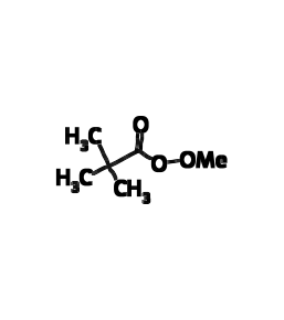 [CH2]OOC(=O)C(C)(C)C